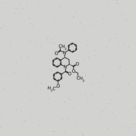 CCOC(=O)[C@@H]1C[C@H](N(C(C)=O)c2ccccc2)c2ccccc2N1C(=O)c1cccc(OC)c1